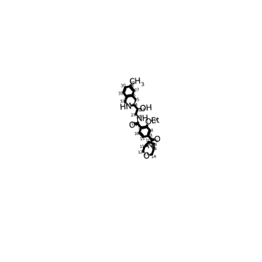 CCOc1cc(C(=O)N2C3CCC2COC3)ccc1C(=O)NC[C@@H](O)[C@@H]1Cc2cc(C)ccc2CN1